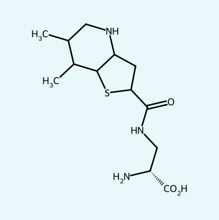 CC1CNC2CC(C(=O)NC[C@@H](N)C(=O)O)SC2C1C